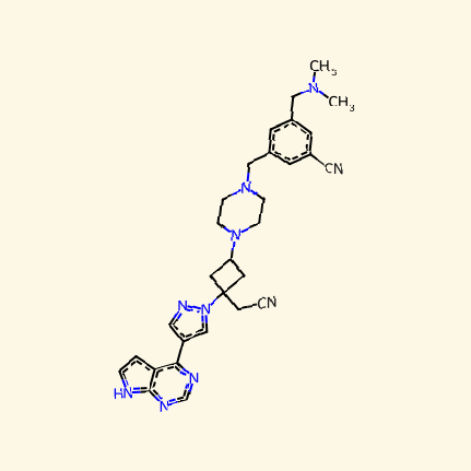 CN(C)Cc1cc(C#N)cc(CN2CCN(C3CC(CC#N)(n4cc(-c5ncnc6[nH]ccc56)cn4)C3)CC2)c1